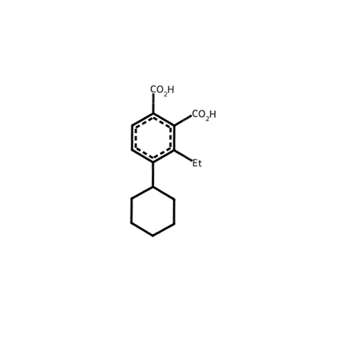 CCc1c(C2CCCCC2)ccc(C(=O)O)c1C(=O)O